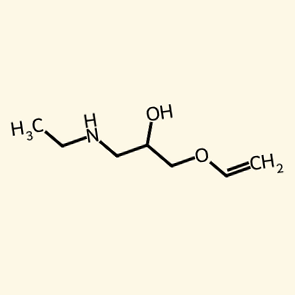 C=COCC(O)CNCC